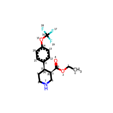 CCOC(=O)[C@H]1CNCC[C@H]1c1ccc(OC(F)(F)F)cc1